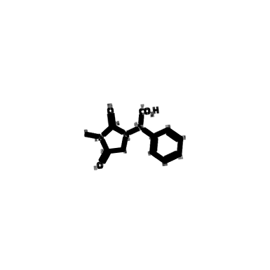 CN1C(=O)CN(N(C(=O)O)c2ccccc2)C1=O